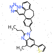 CCCc1nc2c(C)cc(-c3cccs3)cc2n1Cc1ccc2c(c1)CCc1ccccc1C2=Cc1nnn[nH]1